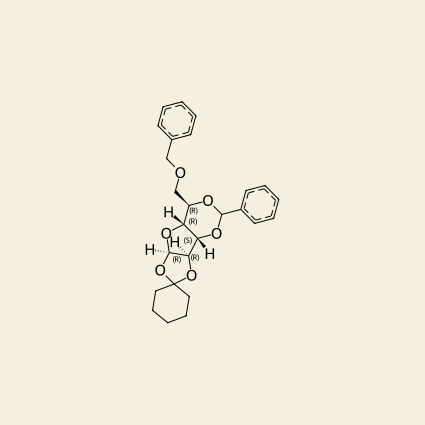 c1ccc(COC[C@H]2OC(c3ccccc3)O[C@@H]3[C@H]4OC5(CCCCC5)O[C@H]4O[C@@H]32)cc1